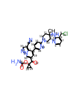 CC1(Nc2ncccc2CCl)CCN(c2ccc(-c3cc(C(=O)C4(OC(N)=O)CC4)cn4ncc(C#N)c34)cn2)CC1